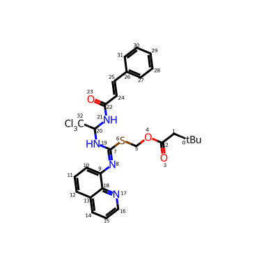 CC(C)(C)CC(=O)OCS/C(=N/c1cccc2cccnc12)NC(NC(=O)/C=C/c1ccccc1)C(Cl)(Cl)Cl